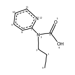 CCCN(C(=O)O)c1ccccn1